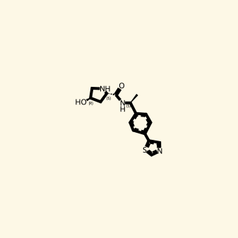 C[C@H](NC(=O)[C@@H]1C[C@@H](O)CN1)c1ccc(-c2cncs2)cc1